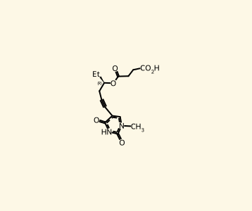 CC[C@H](CC#Cc1cn(C)c(=O)[nH]c1=O)OC(=O)CCC(=O)O